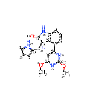 COc1cc(-c2cccc3c2/C(=C/c2ccc[nH]2)C(=O)N3)nc(OC)n1